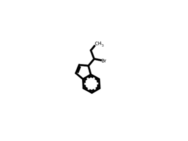 CCC(Br)C1C=Cc2ccccc21